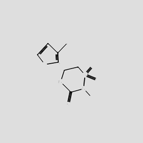 CN1C(=N)N[C@H](c2sccc2Br)CS1(=O)=O